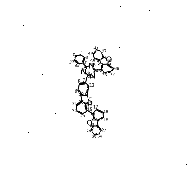 c1ccc(-c2nc(-c3ccc4c(c3)sc3c(-c5cccc6c5oc5ccccc56)cccc34)nc(-c3cccc4oc5ccccc5c34)n2)cc1